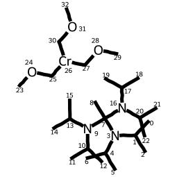 CC(C)N(C(C)C)C(C)(N(C(C)C)C(C)C)N(C(C)C)C(C)C.CO[CH2][Cr]([CH2]OC)[CH2]OC